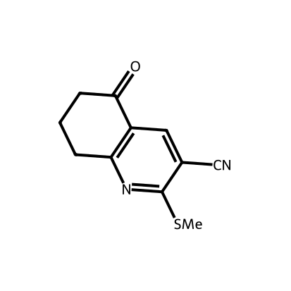 CSc1nc2c(cc1C#N)C(=O)CCC2